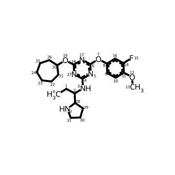 CCC(Nc1nc(Oc2ccc(OC)c(F)c2)nc(OC2CCCCCC2)n1)C1CCCN1